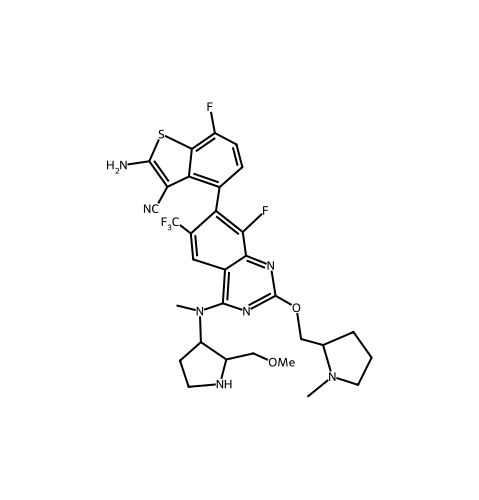 COCC1NCCC1N(C)c1nc(OCC2CCCN2C)nc2c(F)c(-c3ccc(F)c4sc(N)c(C#N)c34)c(C(F)(F)F)cc12